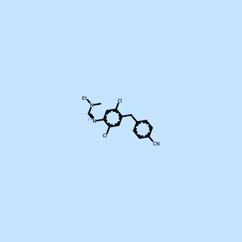 CCN(C)/C=N\c1cc(Cl)c(Cc2ccc(C#N)cc2)cc1Cl